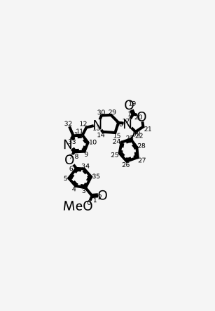 COC(=O)c1ccc(Oc2ccc(CN3CCC(N4C(=O)OC[C@H]4c4ccccc4)CC3)c(C)n2)cc1